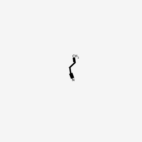 C=C[CH]C#N